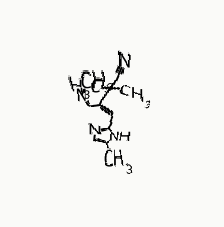 C/N=C\C(=C/c1ncc(C)[nH]1)C(C)(C)C#N